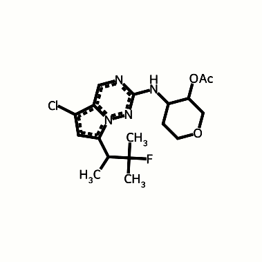 CC(=O)OC1COCCC1Nc1ncc2c(Cl)cc(C(C)C(C)(C)F)n2n1